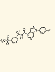 CS(=O)(=O)c1cccc(C2(NC(=O)c3cncc4c3cnn4-c3ccc(F)cc3)CC2)c1